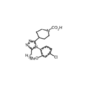 COc1cc(Cl)ccc1-n1c(C)nnc1C1CCN(C(=O)O)CC1